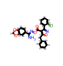 N/C(=N\OC(=O)c1c(-c2ccccc2Cl)noc1Cc1ccccc1)c1ccc2c(c1)OCO2